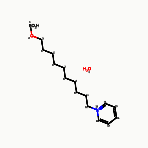 O.O=S(=O)(O)OCCCCCCCCCC[n+]1ccccc1